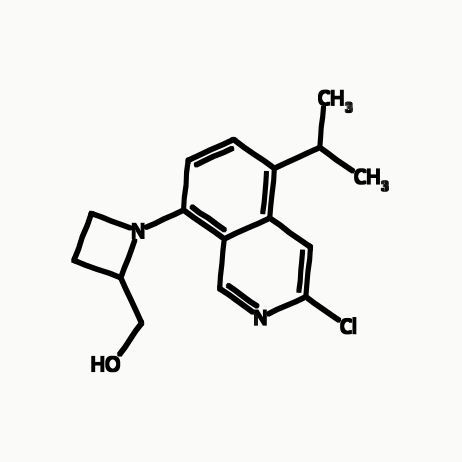 CC(C)c1ccc(N2CCC2CO)c2cnc(Cl)cc12